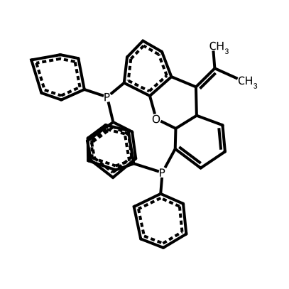 CC(C)=C1c2cccc(P(c3ccccc3)c3ccccc3)c2OC2C(P(c3ccccc3)c3ccccc3)=CC=CC12